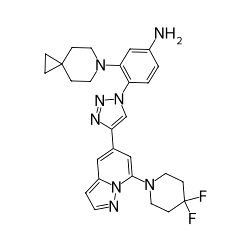 Nc1ccc(-n2cc(-c3cc(N4CCC(F)(F)CC4)n4nccc4c3)nn2)c(N2CCC3(CC2)CC3)c1